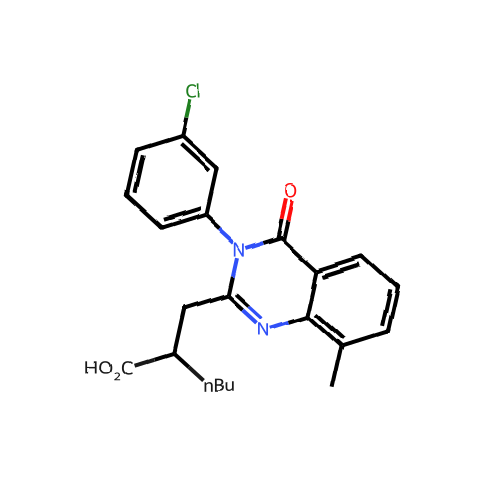 CCCCC(Cc1nc2c(C)cccc2c(=O)n1-c1cccc(Cl)c1)C(=O)O